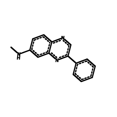 CNc1ccc2ncc(-c3ccccc3)nc2c1